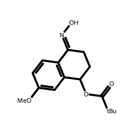 COc1ccc2c(c1)C(OC(=O)C(C)(C)C)CCC2=NO